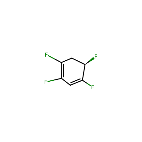 FC1=CC(F)=C(F)[CH][C@H]1F